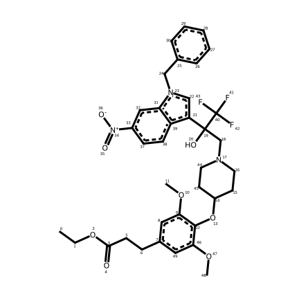 CCOC(=O)CCc1cc(OC)c(OC2CCN(CC(O)(c3cn(Cc4ccccc4)c4cc([N+](=O)[O-])ccc34)C(F)(F)F)CC2)c(OC)c1